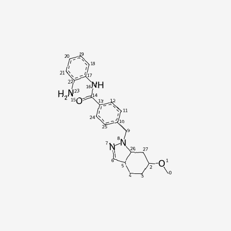 COC1CCC2C=NN(Cc3ccc(C(=O)Nc4ccccc4N)cc3)C2C1